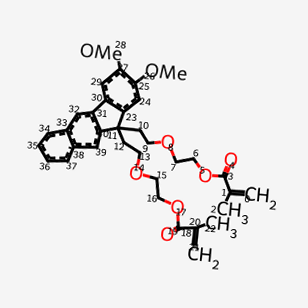 C=C(C)C(=O)OCCOCCC1(CCOCCOC(=O)C(=C)C)c2cc(OC)c(OC)cc2-c2cc3ccccc3cc21